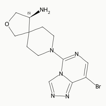 N[C@@H]1COCC12CCN(c1ncc(Br)c3nncn13)CC2